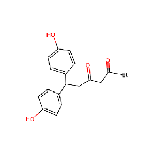 CCC(=O)CC(=O)CC(c1ccc(O)cc1)c1ccc(O)cc1